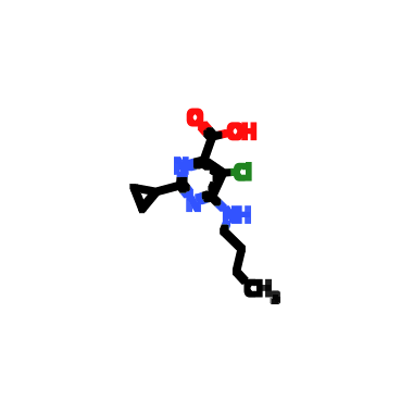 CCCCNc1nc(C2CC2)nc(C(=O)O)c1Cl